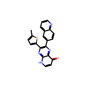 Cc1ccc(-c2nc3[nH]ccc(=O)c3nc2-c2ccc3ncccc3c2)s1